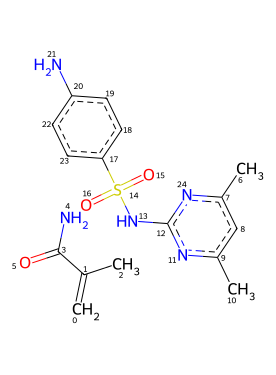 C=C(C)C(N)=O.Cc1cc(C)nc(NS(=O)(=O)c2ccc(N)cc2)n1